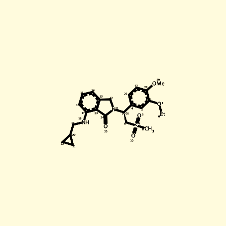 CCOc1cc([C@@H](CS(C)(=O)=O)N2Cc3cccc(NCC4CC4)c3C2=O)ccc1OC